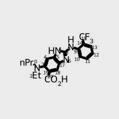 CCCN(CC)c1cc2[nH]c(Nc3ccccc3C(F)(F)F)nc2cc1C(=O)O